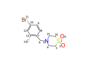 O=S1(=O)CCN(Cc2ccc(Br)cc2F)CC1